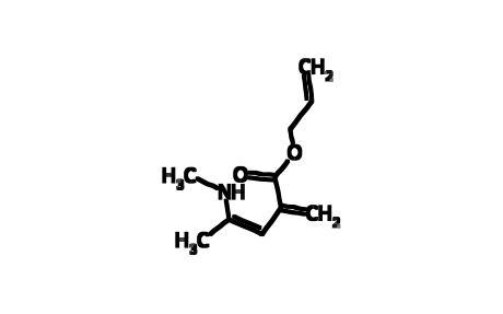 C=CCOC(=O)C(=C)/C=C(/C)NC